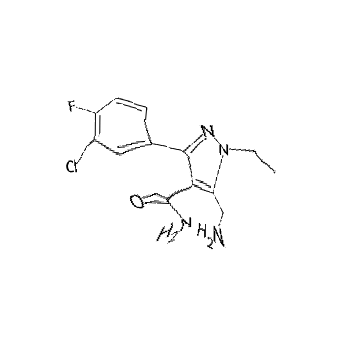 CCn1nc(-c2ccc(F)c(Cl)c2)c(C(N)=O)c1CN